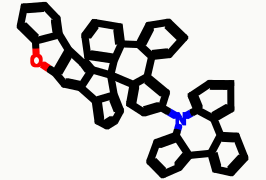 c1ccc2c(c1)-c1ccccc1N(c1ccc3c(c1)-c1ccccc1-c1ccccc1C31c3ccccc3-c3cc4oc5ccccc5c4cc31)c1ccccc1-2